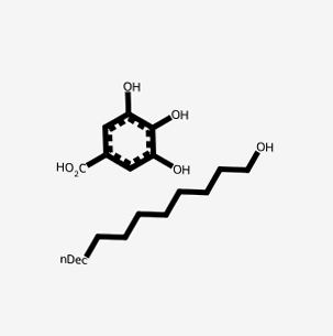 CCCCCCCCCCCCCCCCCCO.O=C(O)c1cc(O)c(O)c(O)c1